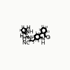 N#CC(Cc1ccc2c(c1)[nH]c(=O)c1ccccc12)NC(=O)[C@H]1N[C@@H]2CC[C@H]1C2